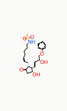 CS(=O)(=O)NCCCC/C=C\C[C@H]1C(=O)C[C@@H](O)[C@@H]1/C=C/[C@@H](O)COc1ccccc1